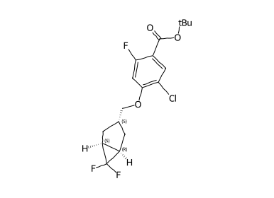 CC(C)(C)OC(=O)c1cc(Cl)c(OC[C@@H]2C[C@@H]3[C@H](C2)C3(F)F)cc1F